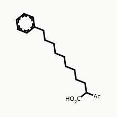 CC(=O)C(CCCCCCCCCc1ccccc1)C(=O)O